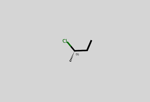 CC[C@H](C)Cl